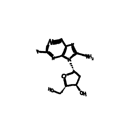 Nc1nc2cnc(F)nc2n1[C@@H]1C[C@@H](O)[C@H](CO)O1